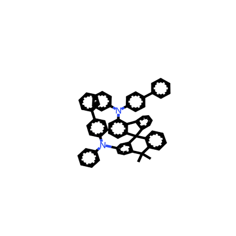 CC1(C)c2ccccc2C2(c3ccccc3-c3c(N(c4ccccc4)c4ccc(-c5ccccc5)cc4)cccc32)c2cc(N(c3ccccc3)c3ccc(-c4ccccc4)cc3)ccc21